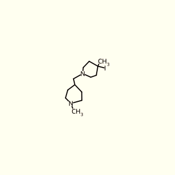 CN1CCC(CN2CCC(C)(I)CC2)CC1